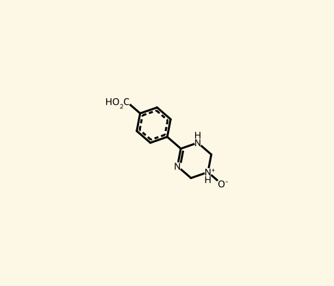 O=C(O)c1ccc(C2=NC[NH+]([O-])CN2)cc1